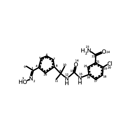 CC(=NO)c1cccc(C(C)(C)NC(=O)Nc2ccc(Cl)c(C(N)=O)c2)c1